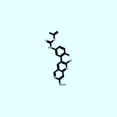 C=C(C)OC(=O)Nc1ccc(F)c(-c2cc3cnc(NC(C)=O)cc3nc2CC)c1